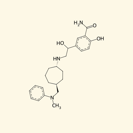 CN(C[C@H]1CCC[C@H](NCC(O)c2ccc(O)c(C(N)=O)c2)CC1)c1ccccc1